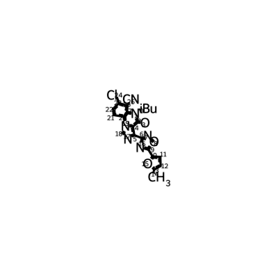 CCC(C)n1c(=O)c2c(-c3noc(-c4ccc(C)o4)n3)ncn2c2ccc(Cl)c(C#N)c21